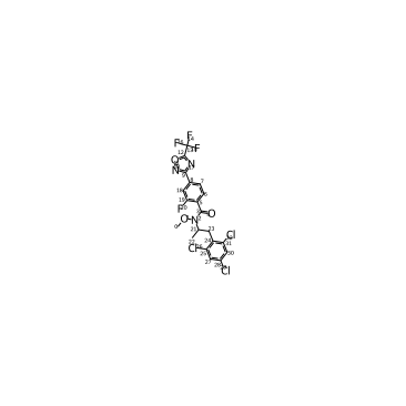 CON(C(=O)c1ccc(-c2noc(C(F)(F)F)n2)cc1F)C(C)Cc1c(Cl)cc(Cl)cc1Cl